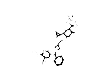 CC(C)Oc1ncc([C@H](c2ccccc2)N2CC(COc3cc(F)c(C(=O)NS(C)(=O)=O)cc3C3CC3)C2)cc1Cl